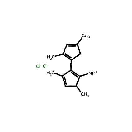 CC1=CC(C)=C(C2=[C]([Hf+2])C(C)C=C2C)C1.[Cl-].[Cl-]